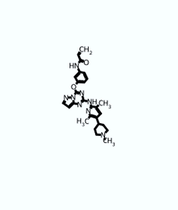 C=CC(=O)Nc1cccc(Oc2nc(Nc3nc(C)c(C4CCN(C)CC4)cc3C)nc3ccnn23)c1